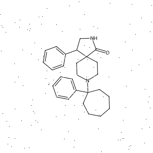 O=C1NCC(c2ccccc2)C12CCN(C1(c3ccccc3)CCCCCC1)CC2